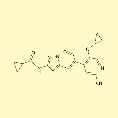 N#Cc1cc(-c2ccn3nc(NC(=O)C4CC4)cc3c2)c(OC2CC2)cn1